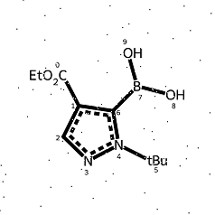 CCOC(=O)c1cnn(C(C)(C)C)c1B(O)O